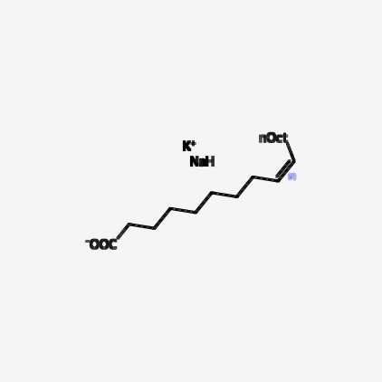 CCCCCCCC/C=C\CCCCCCCC(=O)[O-].[K+].[NaH]